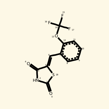 O=C1NC(=O)/C(=C/c2ccccc2OC(F)(F)F)S1